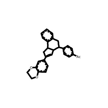 CC(=O)c1ccc(C2Cc3ccccc3C3CC(c4ccc5c(c4)OCCO5)=CC23)cc1